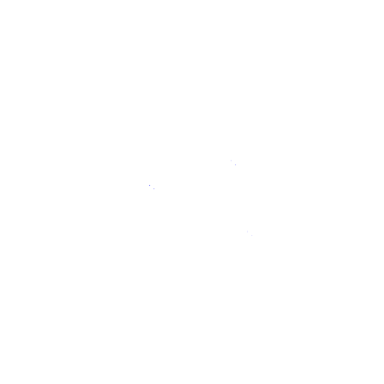 Cc1nc2cccc3nc(C)c4c5c6c(c1c4c23)-n1c2ccccc2c2cccc(c21)B6c1cccc2c3ccccc3n-5c12